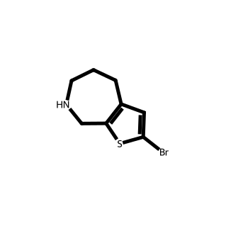 Brc1cc2c(s1)CNCCC2